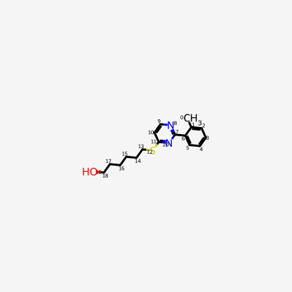 Cc1ccccc1-c1nccc(SCCCCCCO)n1